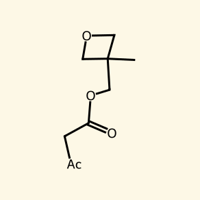 CC(=O)CC(=O)OCC1(C)COC1